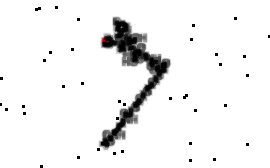 CC(C)(C)OC(=O)NCCCCCNC(=O)CCOCCOCCOCCOCCSC1CC(=O)N(CC(=O)NCCNC(=O)[C@H](CCN(C(=O)CO)[C@@H](c2nc(-c3cc(F)ccc3F)cn2Cc2ccccc2)C(C)(C)C)NC(=O)O)C1=O